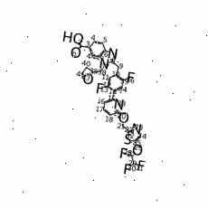 O=C(O)c1ccc2nc(Cc3cc(F)c(-c4cccc(OCc5ncc(OC(F)C(F)F)s5)n4)cc3F)n(CC3CCO3)c2c1